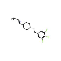 CCC/C=C/[C@H]1CC[C@H](CCc2cc(F)c(F)c(F)c2)CC1